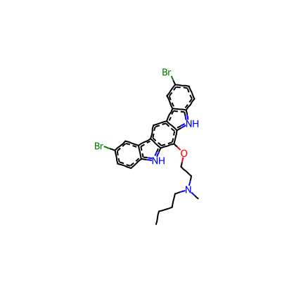 CCCCN(C)CCOc1c2[nH]c3ccc(Br)cc3c2cc2c1[nH]c1ccc(Br)cc12